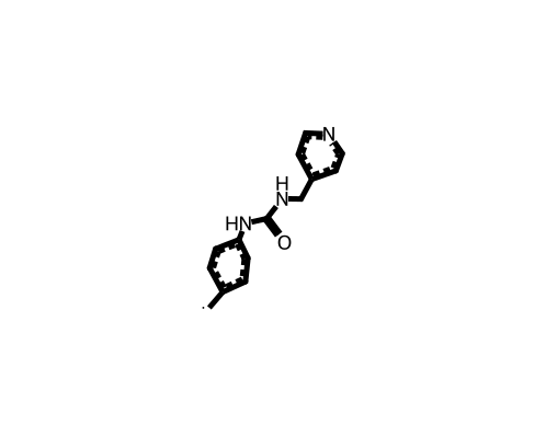 [CH2]c1ccc(NC(=O)NCc2ccncc2)cc1